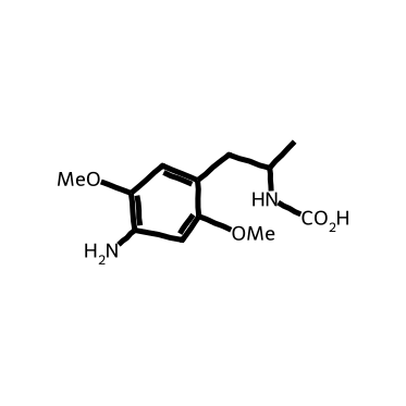 COc1cc(CC(C)NC(=O)O)c(OC)cc1N